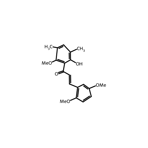 COc1ccc(OC)c(/C=C/C(=O)c2c(O)c(C)cc(C)c2OC)c1